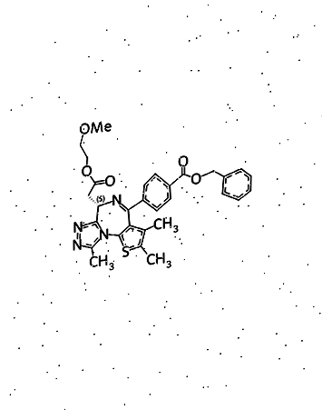 COCCOC(=O)C[C@@H]1N=C(c2ccc(C(=O)OCc3ccccc3)cc2)c2c(sc(C)c2C)-n2c(C)nnc21